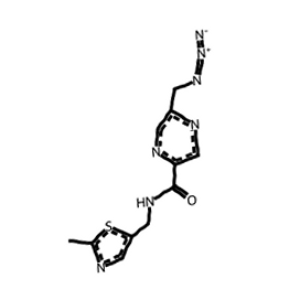 Cc1ncc(CNC(=O)c2cnc(CN=[N+]=[N-])cn2)s1